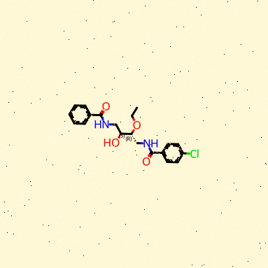 CCO[C@H](CNC(=O)c1ccc(Cl)cc1)[C@@H](O)CNC(=O)c1ccccc1